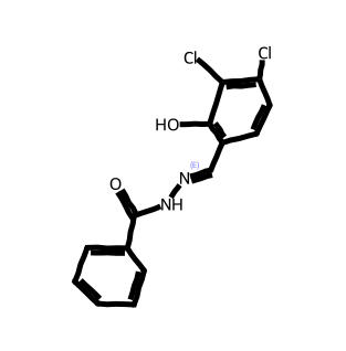 O=C(N/N=C/c1ccc(Cl)c(Cl)c1O)c1ccccc1